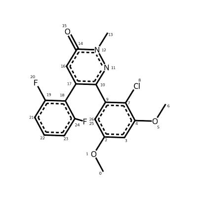 COc1cc(OC)c(Cl)c(-c2nn(C)c(=O)cc2-c2c(F)cccc2F)c1